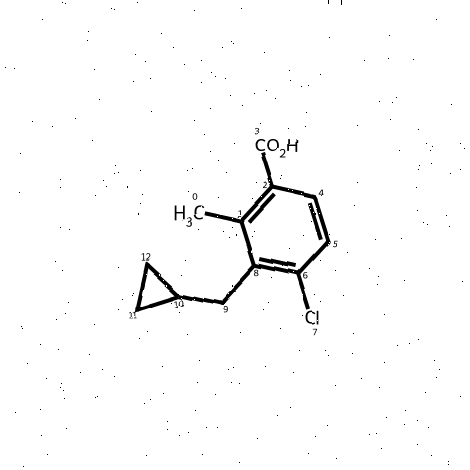 Cc1c(C(=O)O)ccc(Cl)c1CC1CC1